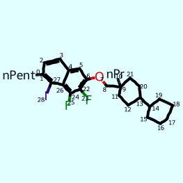 CCCCCc1ccc2cc(OCC3(CCC)CCC(C4CCCCC4)CC3)c(F)c(F)c2c1I